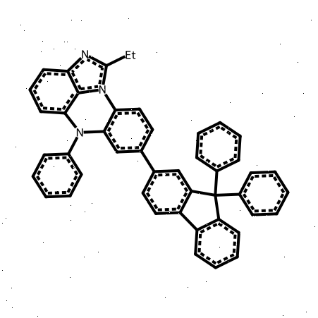 CCc1nc2cccc3c2n1-c1ccc(-c2ccc4c(c2)C(c2ccccc2)(c2ccccc2)c2ccccc2-4)cc1N3c1ccccc1